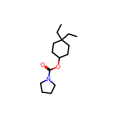 CCC1(CC)CCC(OC(=O)N2CCCC2)CC1